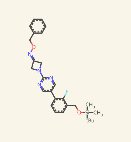 CC(C)(C)[Si](C)(C)OCc1cccc(-c2cnc(N3CC(=NOCc4ccccc4)C3)nc2)c1F